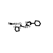 N#CN[C@H]1CCC[C@@H]1C(=O)Nc1ncc(C2CCCCC2)s1